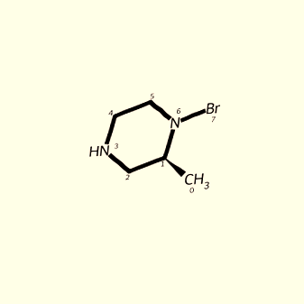 C[C@H]1CNCCN1Br